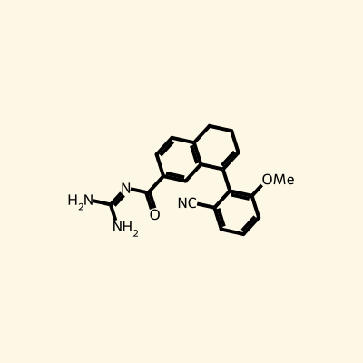 COc1cccc(C#N)c1C1=CCCc2ccc(C(=O)N=C(N)N)cc21